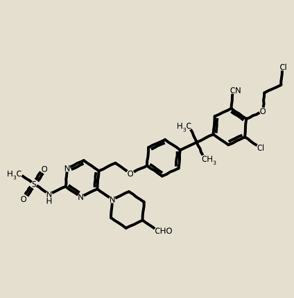 CC(C)(c1ccc(OCc2cnc(NS(C)(=O)=O)nc2N2CCC(C=O)CC2)cc1)c1cc(Cl)c(OCCCl)c(C#N)c1